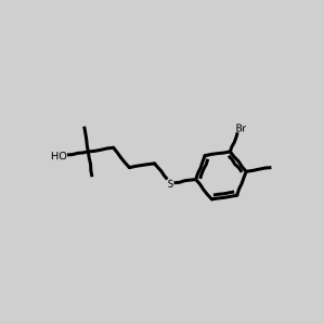 Cc1ccc(SCCCC(C)(C)O)cc1Br